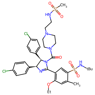 CCOc1cc(C)c(S(=O)(=O)NC(C)(C)C)cc1C1=N[C@@H](c2ccc(Cl)cc2)[C@@H](c2ccc(Cl)cc2)N1C(=O)N1CCN(CCNS(C)(=O)=O)CC1